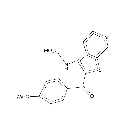 COc1ccc(C(=O)c2sc3cnccc3c2NC(=O)O)cc1